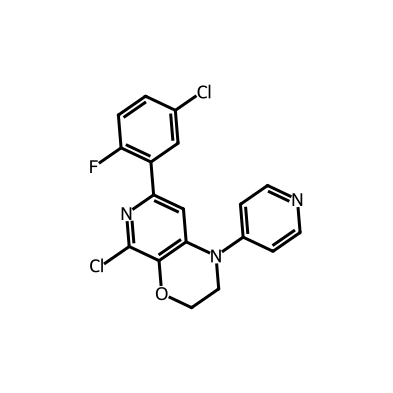 Fc1ccc(Cl)cc1-c1cc2c(c(Cl)n1)OCCN2c1ccncc1